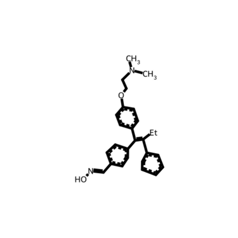 CCC(=C(c1ccc(C=NO)cc1)c1ccc(OCCN(C)C)cc1)c1ccccc1